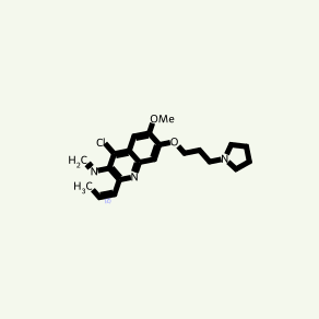 C=Nc1c(/C=C\C)nc2cc(OCCCN3CCCC3)c(OC)cc2c1Cl